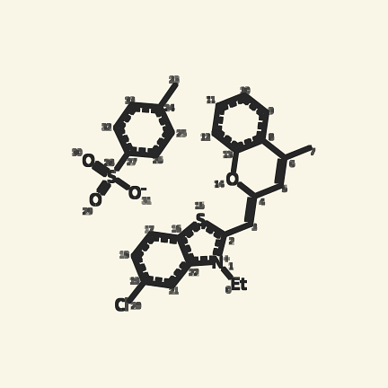 CC[n+]1c(C=C2C=C(C)c3ccccc3O2)sc2ccc(Cl)cc21.Cc1ccc(S(=O)(=O)[O-])cc1